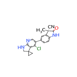 C[C@@]1(C#N)C(=O)Nc2ccc(-c3cnc4c(c3Cl)C3(CC3)CN4)cc21